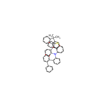 CC1(C)c2ccccc2-c2c(-c3ccccc3N(c3ccccc3-c3ccccc3-c3ccccc3)c3cccc4sc5ccccc5c34)cccc21